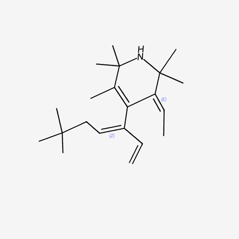 C=C/C(=C/CC(C)(C)C)C1=C(C)C(C)(C)NC(C)(C)/C1=C/C